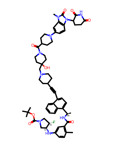 Cc1ccc(N[C@H]2CN(C(=O)OC(C)(C)C)C[C@@H]2F)cc1C(=O)N[C@H](C)c1ccc(C#CC2CCN(CC3(O)CCN(C(=O)C4CCN(c5ccc6c(c5)n(C)c(=O)n6C5CCC(=O)NC5=O)CC4)CC3)CC2)c2ccccc12